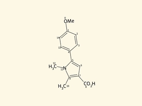 COc1ccc(-c2cc(C(=O)O)c(C)n2C)cc1